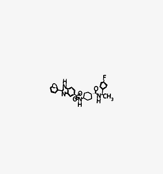 C[C@@H](NC(=O)[C@H]1CC[C@H](NS(=O)(=O)c2ccc3[nH]c(-c4ccccc4)nc3c2)CC1)c1ccc(F)cc1